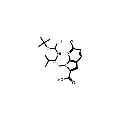 CC(C)[C@@H](Cn1c(C(=O)O)cc2cnc(Cl)nc21)NC(O)OC(C)(C)C